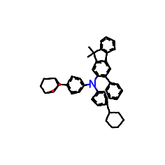 CC1(C)c2ccccc2-c2cc(-c3ccccc3)c(N(c3ccc(C4CCCCC4)cc3)c3ccc(C4CC5CCC4CC5)cc3)cc21